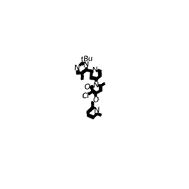 Cc1cccc(COc2cc(C)n(-c3ccnc(-c4nc(C(C)(C)C)ncc4C)c3)c(=O)c2Cl)n1